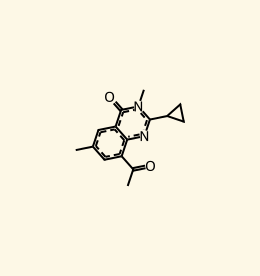 CC(=O)c1cc(C)cc2c(=O)n(C)c(C3CC3)nc12